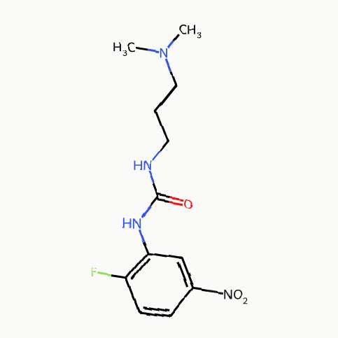 CN(C)CCCNC(=O)Nc1cc([N+](=O)[O-])ccc1F